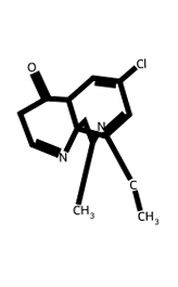 CCN1C2=CC(Cl)=CC3C(=O)CC=NC23CC1C